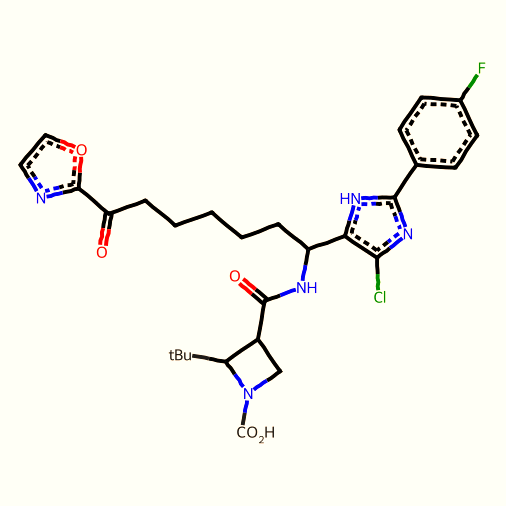 CC(C)(C)C1C(C(=O)NC(CCCCCC(=O)c2ncco2)c2[nH]c(-c3ccc(F)cc3)nc2Cl)CN1C(=O)O